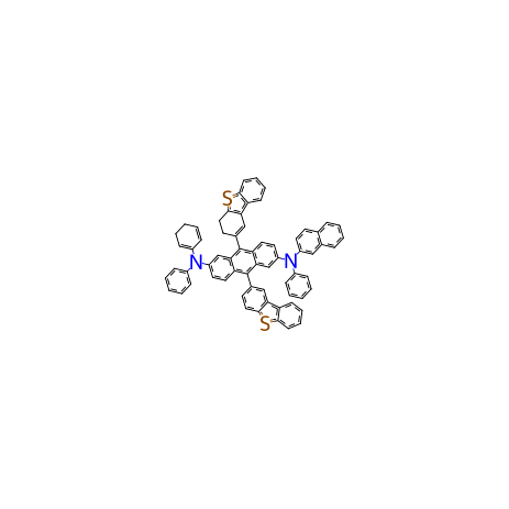 C1=CC(N(c2ccccc2)c2ccc3c(-c4ccc5sc6ccccc6c5c4)c4cc(N(c5ccccc5)c5ccc6ccccc6c5)ccc4c(C4=Cc5c(sc6ccccc56)CC4)c3c2)=CCC1